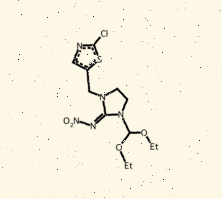 CCOC(OCC)N1CCN(Cc2cnc(Cl)s2)C1=N[N+](=O)[O-]